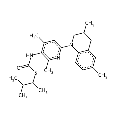 Cc1ccc2c(c1)CC(C)CN2c1cc(C)c(NC(=O)SC(C)C(C)C)c(C)n1